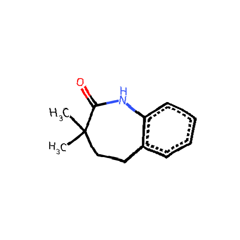 CC1(C)CCc2ccccc2NC1=O